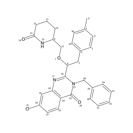 Cc1ccc(CC(OCC2CCCC(=O)N2)c2nc3cc(Cl)ccc3c(=O)n2Cc2ccccc2)cc1